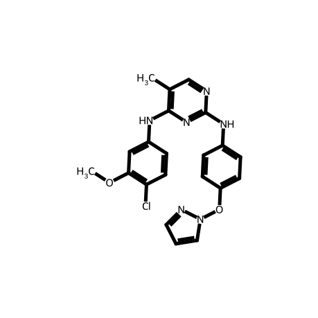 COc1cc(Nc2nc(Nc3ccc(On4cccn4)cc3)ncc2C)ccc1Cl